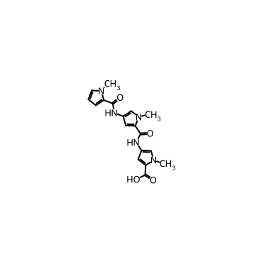 Cn1cc(NC(=O)c2cc(NC(=O)c3cccn3C)cn2C)cc1C(=O)O